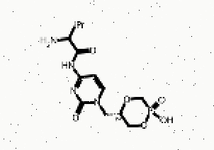 CC(C)C(N)C(=O)Nc1ccn(C[C@H]2COP(=O)(O)CO2)c(=O)n1